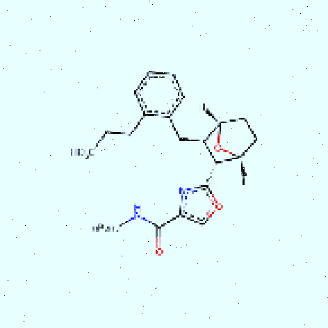 CCCCCNC(=O)c1coc([C@@H]2[C@@H](Cc3ccccc3CCC(=O)O)[C@@H]3CC[C@H]2O3)n1